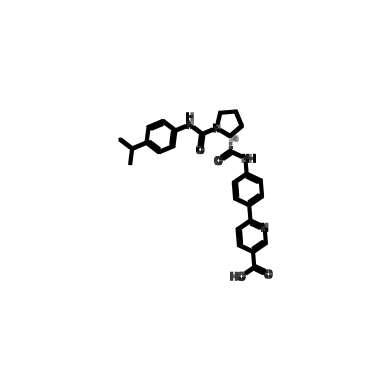 CC(C)c1ccc(NC(=O)N2CCC[C@@H]2C(=O)Nc2ccc(-c3ccc(C(=O)O)cn3)cc2)cc1